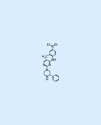 CCN(CC)c1ccc(Nc2ccnc(N3CCNC(c4ccccc4)C3)n2)c(C)c1